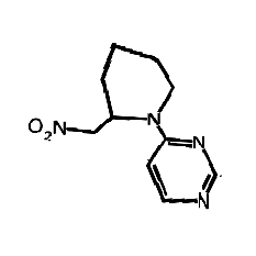 O=[N+]([O-])CC1CCCCN1c1ccn[c]n1